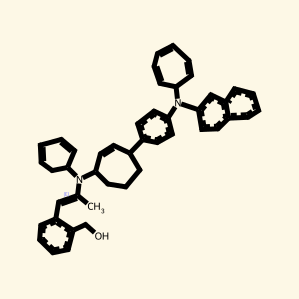 C/C(=C\c1ccccc1CO)N(C1C=CC=CC1)C1C=CC(c2ccc(N(c3ccc4ccccc4c3)C3C=CC=CC=C3)cc2)CCC1